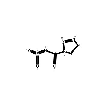 O=C(N=S(=O)=O)N1CCN=N1